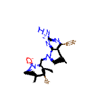 Cc1c[n+]([O-])c(Cn2cc(C)c3c(Br)nc(N)nc32)c(C)c1Br